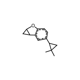 CC1(C)CC1c1ccc2c(c1)C1CC1O2